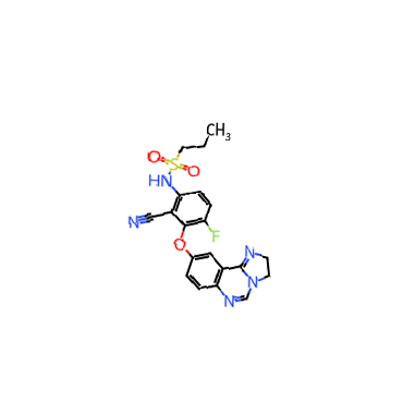 CCCS(=O)(=O)Nc1ccc(F)c(Oc2ccc3c(c2)C2=NCCN2C=N3)c1C#N